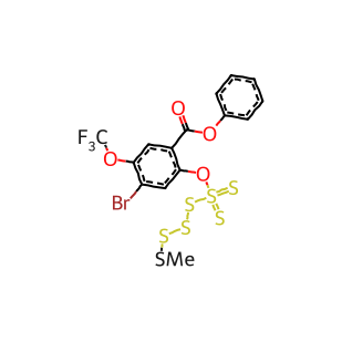 CSSSSS(=S)(=S)Oc1cc(Br)c(OC(F)(F)F)cc1C(=O)Oc1ccccc1